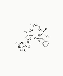 C#C[C@]1(CO[P@@](=O)(N[C@@H](C)C(=O)OCC)Oc2ccccc2)O[C@@H](n2cnc3c(N)nc(F)nc32)C[C@@H]1O